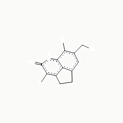 Cc1c2c3c(cc(CCl)c(F)c3[nH]c1=O)CC2